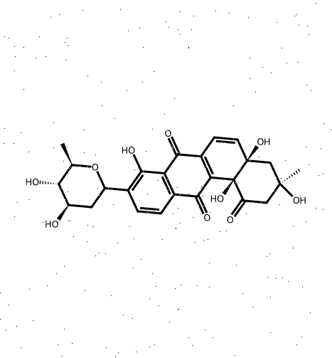 C[C@H]1OC(c2ccc3c(c2O)C(=O)C2=C(C3=O)[C@@]3(O)C(=O)C[C@](C)(O)C[C@@]3(O)C=C2)C[C@@H](O)[C@@H]1O